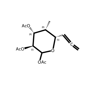 C=C=C[C@@H]1OC(OC(C)=O)[C@@H](OC(C)=O)[C@H](OC(C)=O)[C@@H]1C